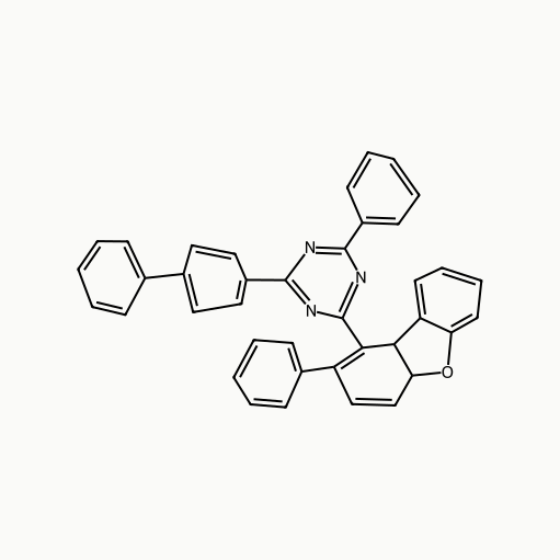 C1=CC2Oc3ccccc3C2C(c2nc(-c3ccccc3)nc(-c3ccc(-c4ccccc4)cc3)n2)=C1c1ccccc1